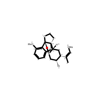 CC[C@@H]1CN2CC[C@@]34OCC[C@@]3(Nc3cccc(OC)c34)[C@@H]2C[C@@H]1/C(C)=C\OC